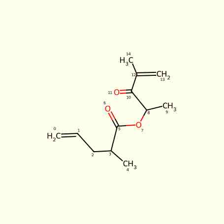 C=CCC(C)C(=O)OC(C)C(=O)C(=C)C